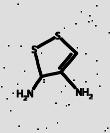 NC1=CSSC1N